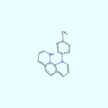 Cc1ccc(N2C=CC=c3ccc4c(c32)NC=CC=4)cc1